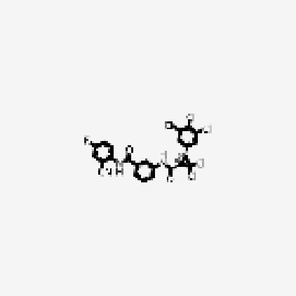 N#Cc1cc(F)ccc1NC(=O)c1cccc(NC(=O)[C@H]2[C@H](c3cc(Cl)c(Cl)c(Cl)c3)C2(Cl)Cl)c1